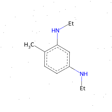 CCNc1ccc(C)c(NCC)c1